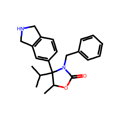 CC(C)C1(c2ccc3c(c2)CNC3)C(C)OC(=O)N1Cc1ccccc1